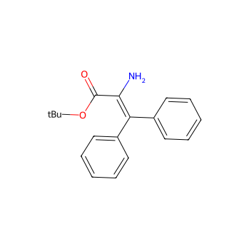 CC(C)(C)OC(=O)C(N)=C(c1ccccc1)c1ccccc1